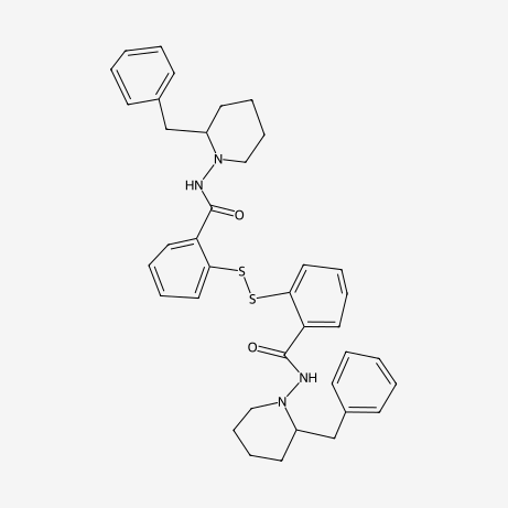 O=C(NN1CCCCC1Cc1ccccc1)c1ccccc1SSc1ccccc1C(=O)NN1CCCCC1Cc1ccccc1